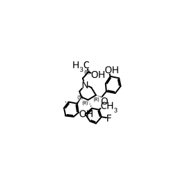 Cc1c(F)cccc1[C@H]1[C@@H](C(=O)c2cccc(O)c2)CN(C[C@@H](C)O)C[C@@H]1c1[c]cccc1O